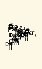 CCNC(=O)Nc1nnc(C(NC(=O)[C@@]2(NC(=O)C(NC(=O)Cc3ccccc3F)C(C)CC)CCc3[nH]c4c(C(F)(F)F)cccc4c3C2)C(C)CC)o1